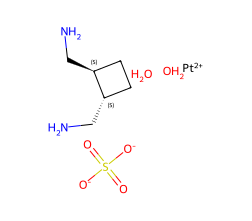 NC[C@H]1CC[C@@H]1CN.O.O.O=S(=O)([O-])[O-].[Pt+2]